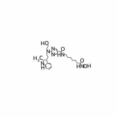 CC1Nc2ccccc2C1CCN(CCO)c1ncc(C(=O)NCCCCCCC(=O)NO)cn1